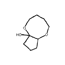 OC12CCCC1OCCCCO2